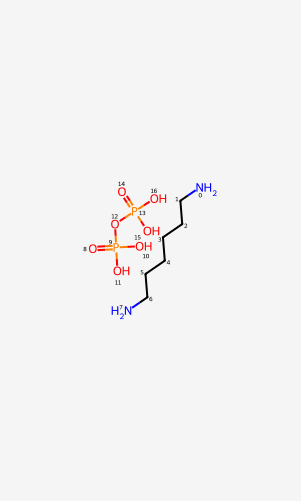 NCCCCCCN.O=P(O)(O)OP(=O)(O)O